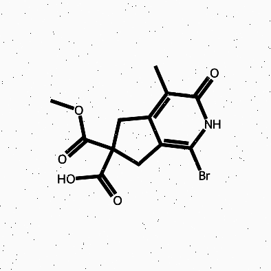 COC(=O)C1(C(=O)O)Cc2c(Br)[nH]c(=O)c(C)c2C1